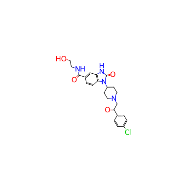 O=C(CN1CCC(n2c(=O)[nH]c3cc(C(=O)NCCO)ccc32)CC1)c1ccc(Cl)cc1